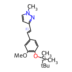 COc1cc(/C=C/c2ccn(C)n2)ccc1O[Si](C)(C)C(C)(C)C